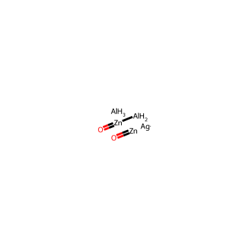 [Ag].[AlH3].[O]=[Zn].[O]=[Zn][AlH2]